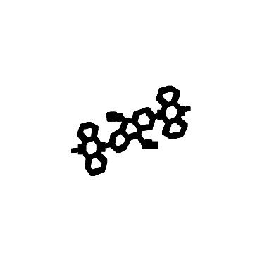 CN1c2ccccc2N(c2ccc3c(C(C)(C)C)c4cc(N5c6ccccc6N(C)c6ccccc65)ccc4c(C(C)(C)C)c3c2)c2ccccc21